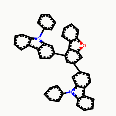 c1ccc(-n2c3ccccc3c3ccc(-c4cc(-c5ccc6c7ccccc7n(-c7ccccc7)c6c5)c5c(c4)oc4ccccc45)cc32)cc1